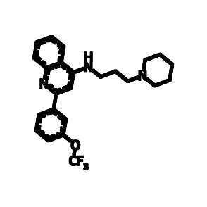 FC(F)(F)Oc1cccc(-c2cc(NCCCN3CCCCC3)c3ccccc3n2)c1